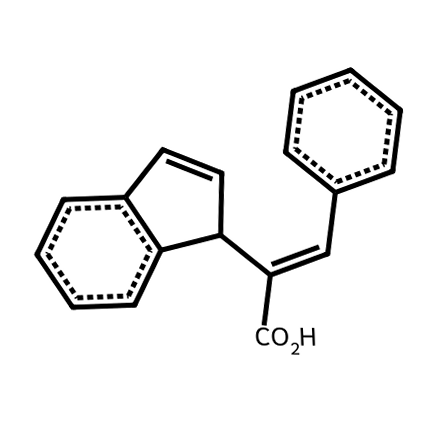 O=C(O)/C(=C/c1ccccc1)C1C=Cc2ccccc21